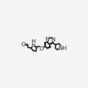 O=CCC1CCC(COc2ccc3c(C4CCNCC4)ncnc3c2)N1